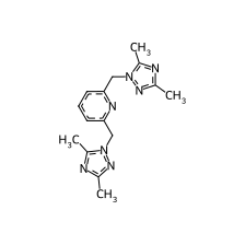 Cc1nc(C)n(Cc2cccc(Cn3nc(C)nc3C)n2)n1